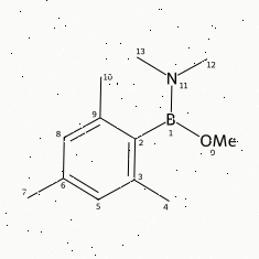 COB(c1c(C)cc(C)cc1C)N(C)C